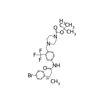 C[C@@H](CC(=O)Nc1ccc(CN2CCN(C(=O)OC(C)(C)C)CC2)c(C(F)(F)F)c1)c1ccc(Br)cc1